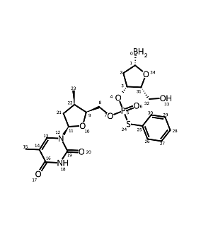 B[C@H]1C[C@@H](OP(=O)(OC[C@H]2O[C@@H](n3cc(C)c(=O)[nH]c3=O)C[C@H]2C)Sc2ccccc2)[C@@H](CO)O1